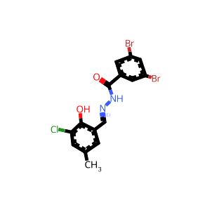 Cc1cc(Cl)c(O)c(/C=N/NC(=O)c2cc(Br)cc(Br)c2)c1